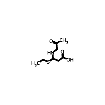 CCSC(CC(=O)O)NCC(C)=O